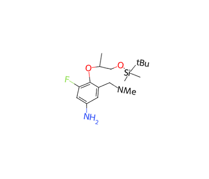 CNCc1cc(N)cc(F)c1OC(C)CO[Si](C)(C)C(C)(C)C